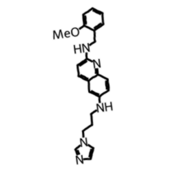 COc1ccccc1CNc1ccc2cc(NCCCn3ccnc3)ccc2n1